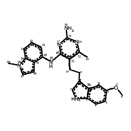 COc1ccc2[nH]cc(CCc3c(C)nc(N)nc3Nc3cccc4c3ccn4C)c2c1